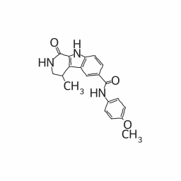 COc1ccc(NC(=O)c2ccc3[nH]c4c(c3c2)C(C)CNC4=O)cc1